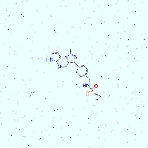 Cc1nc(-c2ccc(CNS(=O)(=O)C3CC3)cc2)c2cnc3[nH]ccc3n12